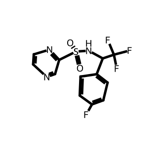 O=S(=O)(NC(c1ccc(F)cc1)C(F)(F)F)c1cnccn1